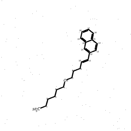 CCCCCCOCCCC=Cc1ccc2ccccc2c1